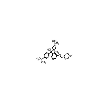 CC(C)c1ccc([C@](O)(c2cncc(OCC3CCNCC3)c2)C2(C)CN(C)C2)cc1.Cl